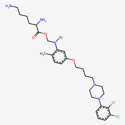 CC(=O)N(COC(=O)C(N)CCCCN)c1cc(OCCCCN2CCN(c3cccc(Cl)c3Cl)CC2)ccc1C